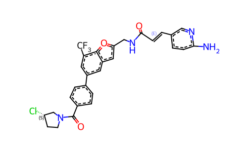 Nc1ccc(/C=C/C(=O)NCc2cc3cc(-c4ccc(C(=O)N5CC[C@H](Cl)C5)cc4)cc(C(F)(F)F)c3o2)cn1